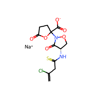 C=C(Cl)CC(=S)N[C@H]1CON(C2(C(=O)[O-])CCC(=O)O2)C1=O.[Na+]